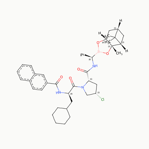 CC(C)[C@H](NC(=O)[C@@H]1C[C@H](Cl)CN1C(=O)[C@@H](CC1CCCCC1)NC(=O)c1ccc2ccccc2c1)B1O[C@@H]2C[C@@H]3C[C@@H](C3(C)C)[C@]2(C)O1